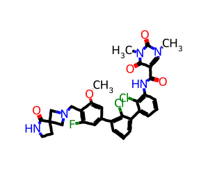 COc1cc(-c2cccc(-c3cccc(NC(=O)c4cn(C)c(=O)n(C)c4=O)c3Cl)c2Cl)cc(F)c1CN1CC2(CCNC2=O)C1